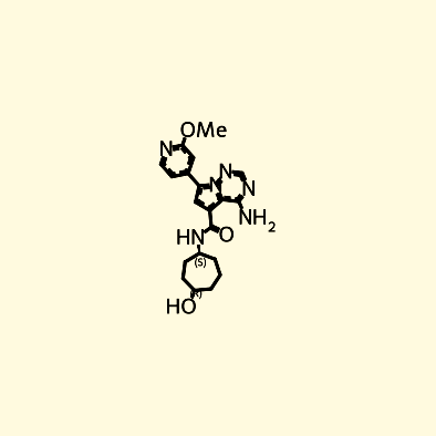 COc1cc(-c2cc(C(=O)N[C@H]3CCC[C@@H](O)CC3)c3c(N)ncnn23)ccn1